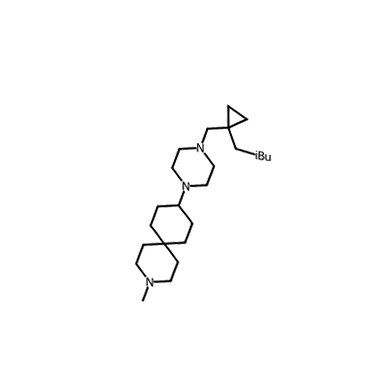 CCC(C)CC1(CN2CCN(C3CCC4(CC3)CCN(C)CC4)CC2)CC1